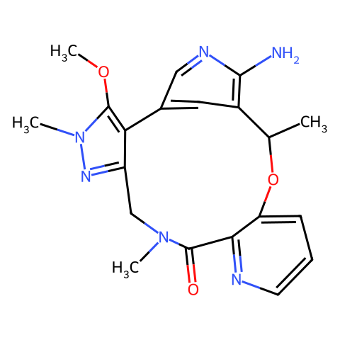 COc1c2c(nn1C)CN(C)C(=O)c1ncccc1OC(C)c1cc-2cnc1N